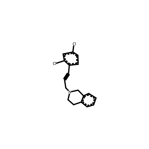 Clc1ccc(C#CCN2CCc3ccccc3C2)c(Cl)c1